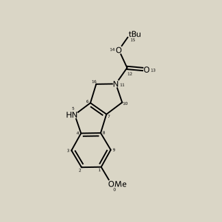 COc1ccc2[nH]c3c(c2c1)CN(C(=O)OC(C)(C)C)C3